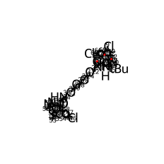 C=N[C@@H](C)[C@]1(c2ccc(Cl)cc2F)C(CC(C)(C)C)NC(C(=O)NCCOCCOCCOCCOCCNC(=O)C[C@@H]2N=C(c3ccc(Cl)cc3)c3c(sc(C)c3C)-n3c(C)nnc32)C1c1cccc(Cl)c1F